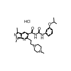 Cc1nn(C)c2nc(CCN3CCN(C)CC3)c(C(=O)NC(=O)Nc3cccc(OC(C)C)c3)cc12.Cl